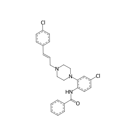 O=C(Nc1ccc(Cl)cc1N1CCN(CC=Cc2ccc(Cl)cc2)CC1)c1ccccc1